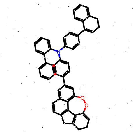 C1=C2OOc3cc(-c4ccc(N(c5ccc(C6=CCCc7ccccc76)cc5)c5ccccc5-c5ccccc5)cc4)cc4ccc5c(c34)C2=C(CC1)C5